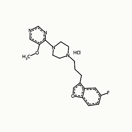 COc1cncnc1N1CCN(CCCc2coc3ccc(F)cc23)CC1.Cl